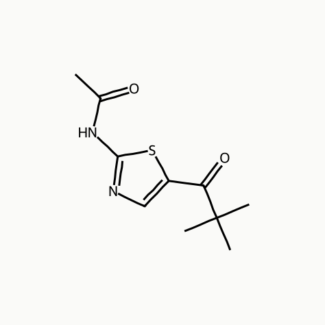 CC(=O)Nc1ncc(C(=O)C(C)(C)C)s1